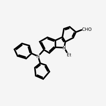 CCn1c2cc(C=O)ccc2c2ccc(N(c3ccccc3)c3ccccc3)cc21